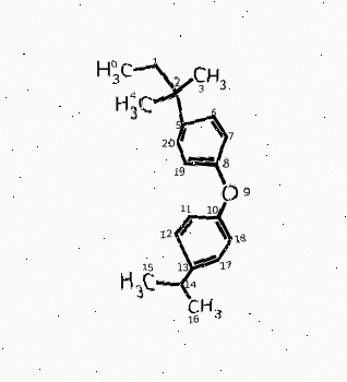 CCC(C)(C)c1ccc(Oc2ccc(C(C)C)cc2)cc1